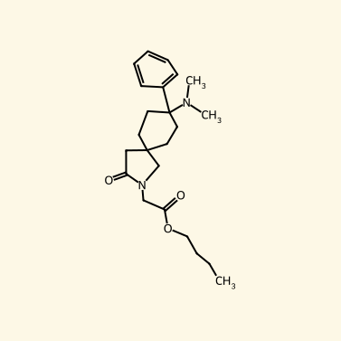 CCCCOC(=O)CN1CC2(CCC(c3ccccc3)(N(C)C)CC2)CC1=O